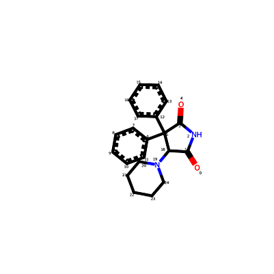 O=C1NC(=O)C(c2ccccc2)(c2ccccc2)C1N1CCCCC1